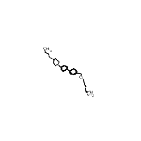 C=CCCCOCc1ccc(-c2ccc(C3CCC(CC=CC)CC3)cc2)cc1